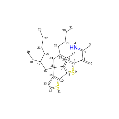 C=C(C(C)=N)c1cc2c(s1)-c1sccc1C2(CC(CC)CCCC)CC(CC)CCCC